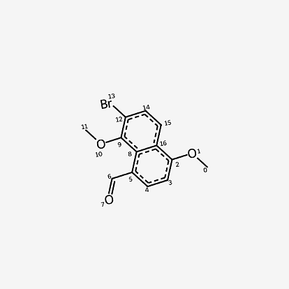 COc1ccc(C=O)c2c(OC)c(Br)ccc12